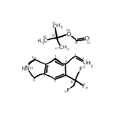 C=Cc1cc2c(cc1C(F)(F)F)CNC2.CC(C)(C)OC=O